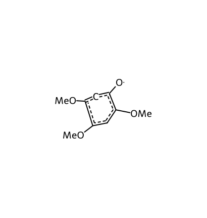 COc1cc(OC)c(OC)cc1[O]